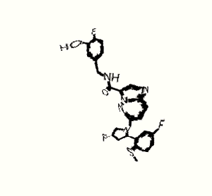 CSc1ccc(F)cc1[C@H]1C[C@H](F)CN1c1ccc2ncc(C(=O)NCc3ccc(F)c(O)c3)n2n1